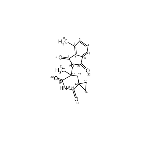 Cc1cccc2c1C(=O)N(C1(C)CC3(CC3)C(=O)NC1=O)C2=O